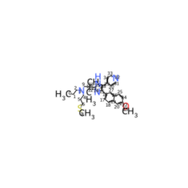 CCCN(CCCSC)CC(C)(C)c1nc(-c2ccc3cc(OC)ccc3c2)c(-c2ccncc2)[nH]1